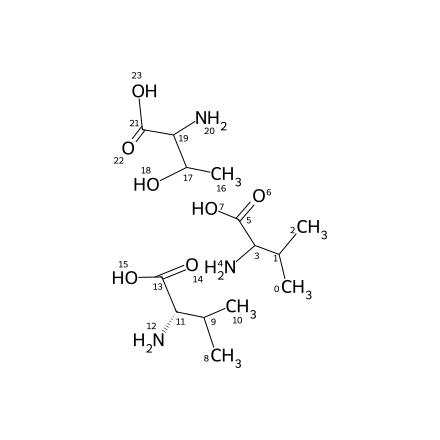 CC(C)C(N)C(=O)O.CC(C)[C@H](N)C(=O)O.CC(O)C(N)C(=O)O